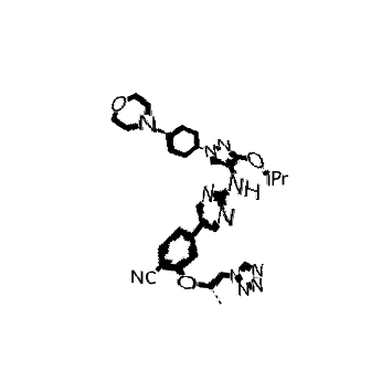 CC(C)Oc1nn([C@H]2CC[C@H](N3CCOCC3)CC2)cc1Nc1ncc(-c2ccc(C#N)c(O[C@@H](C)Cn3cnnn3)c2)cn1